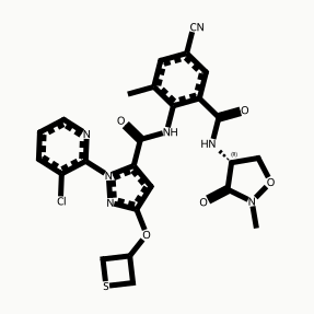 Cc1cc(C#N)cc(C(=O)N[C@@H]2CON(C)C2=O)c1NC(=O)c1cc(OC2CSC2)nn1-c1ncccc1Cl